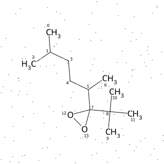 CC(C)CCC(C)C1(C(C)(C)C)OO1